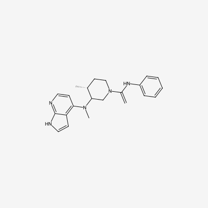 C=C(Nc1ccccc1)N1CC[C@@H](C)C(N(C)c2ccnc3[nH]ccc23)C1